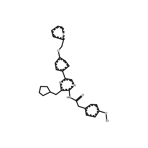 CCOc1ccc(CC(=O)Nc2ncc(-c3ccc(OCc4ccccc4)cc3)nc2CC2CCCC2)cc1